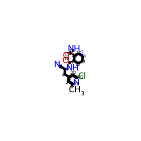 Cc1cc(CC(C#N)NC(=O)[C@@H]2CCCC[C@@H]2C(N)=O)cc(Cl)n1